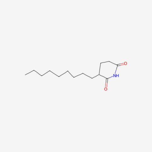 CCCCCCCCCC1CCC(=O)NC1=O